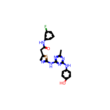 Cc1nc(Nc2ccc(O)cc2)nc(Nc2ncc(CC(=O)Nc3cccc(F)c3)s2)n1